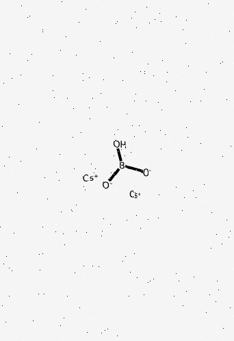 [Cs+].[Cs+].[O-]B([O-])O